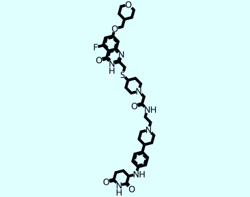 O=C(CN1CCC(SCc2nc3cc(OCC4CCOCC4)cc(F)c3c(=O)[nH]2)CC1)NCCN1CCC(c2ccc(NC3CCC(=O)NC3=O)cc2)CC1